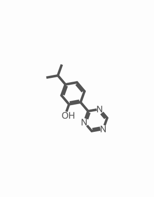 CC(C)c1ccc(-c2ncncn2)c(O)c1